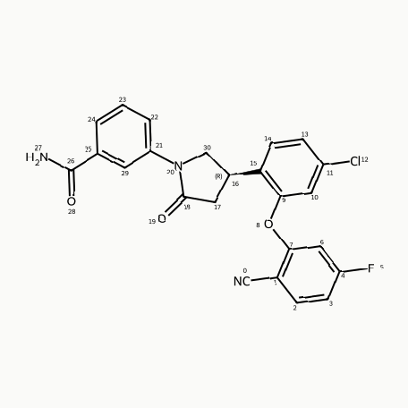 N#Cc1ccc(F)cc1Oc1cc(Cl)ccc1[C@H]1CC(=O)N(c2cccc(C(N)=O)c2)C1